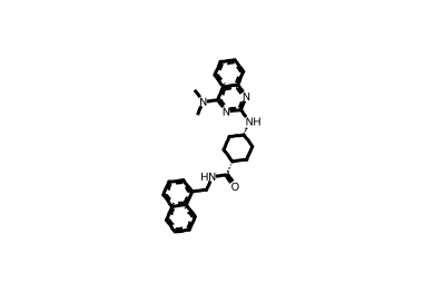 CN(C)c1nc(N[C@H]2CC[C@@H](C(=O)NCc3cccc4ccccc34)CC2)nc2ccccc12